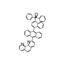 O=P(c1ccccc1)(c1ccccc1)c1ccc(-c2c3ccccc3c(-c3ccc4ccc5cccnc5c4n3)c3ccccc23)c2ccccc12